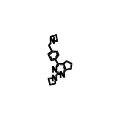 c1cc(-c2nc(N3CCC3)nc3c2CCC3)ccc1CN1CCC1